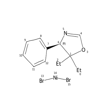 CCC1(CC)OC=N[C@@H]1c1ccccc1.[Br][Ni][Br]